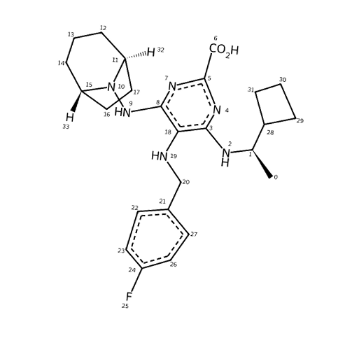 C[C@@H](Nc1nc(C(=O)O)nc(NN2[C@H]3CCC[C@H]2CC3)c1NCc1ccc(F)cc1)C1CCC1